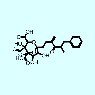 C=C(CCC12OC(C(=O)O)C(O)(C(=O)O)C(C(=O)O)(O1)C(O)C2O)C(=O)C(C)Cc1ccccc1